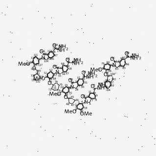 COc1ccc(N2Cc3ccc(C(=O)NN)cc3C2=O)cc1OC.COc1ccc(N2Cc3ccc(C(=O)NN)cc3C2=O)cc1OC1CCCC1.COc1ccc(N2Cc3ccc(C(=O)NN)cc3C2=O)cc1OC1CCCCC1.COc1ccc(N2Cc3ccc(C(=O)NN)cc3C2=O)cc1OC1CCc2ccccc21.COc1ccc(N2Cc3ccc(C(=O)NN)cc3C2=O)cc1OCC1CCCC1